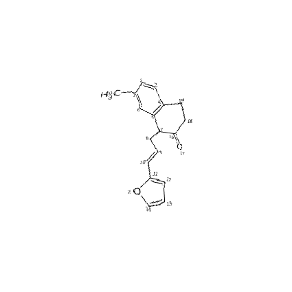 Cc1ccc2c(c1)C(C/C=C/c1ccco1)C(=O)CC2